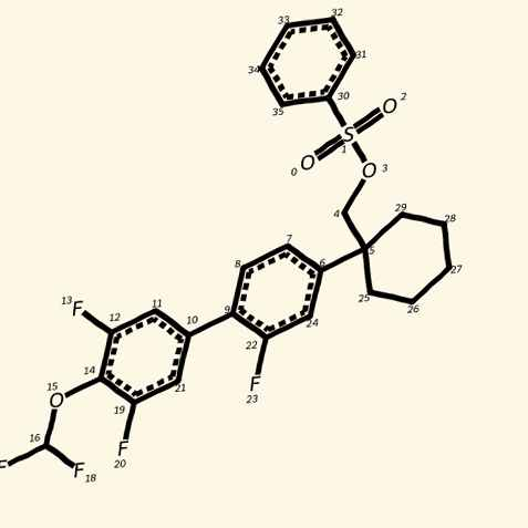 O=S(=O)(OCC1(c2ccc(-c3cc(F)c(OC(F)F)c(F)c3)c(F)c2)CCCCC1)c1ccccc1